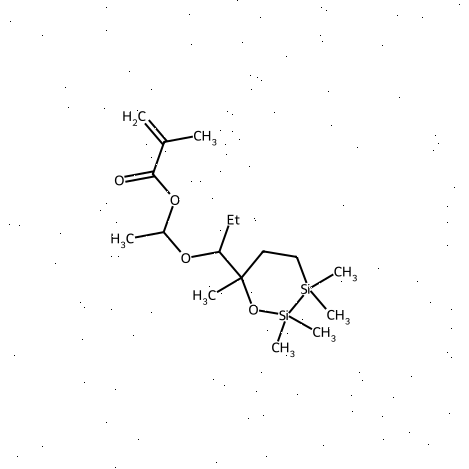 C=C(C)C(=O)OC(C)OC(CC)C1(C)CC[Si](C)(C)[Si](C)(C)O1